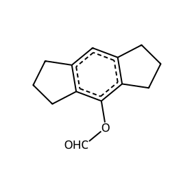 O=COc1c2c(cc3c1CCC3)CCC2